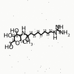 C[C@@H]1OC(CO)[C@@H](O)C(O)C1NC(=O)CCCCCCCNC(=N)N